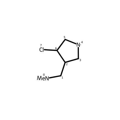 CNCC1C[N]CC1Cl